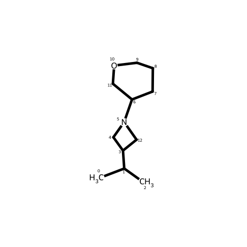 CC(C)C1CN(C2CCCOC2)C1